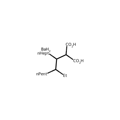 CCCCCCCC(C(CC)CCCCC)C(C(=O)O)C(=O)O.[BaH2]